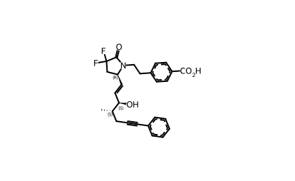 C[C@@H](CC#Cc1ccccc1)[C@H](O)C=C[C@H]1CC(F)(F)C(=O)N1CCc1ccc(C(=O)O)cc1